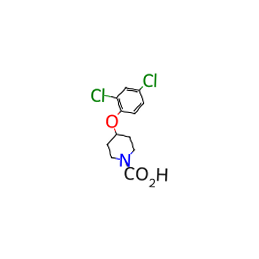 O=C(O)N1CCC(Oc2ccc(Cl)cc2Cl)CC1